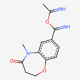 CC(=N)OC(=N)c1ccc2c(c1)N(C)C(=O)CCO2